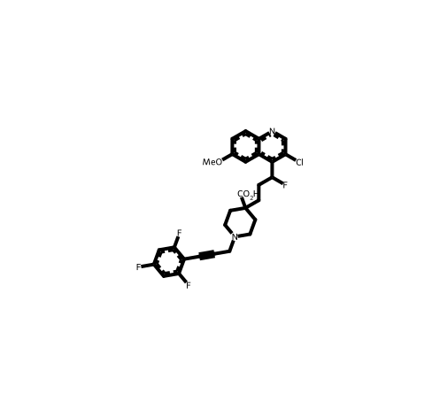 COc1ccc2ncc(Cl)c(C(F)CCC3(C(=O)O)CCN(CC#Cc4c(F)cc(F)cc4F)CC3)c2c1